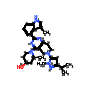 Cc1c[nH]c2cccc(-c3nc4c(c(N5CC[C@H](O)C[C@@H]5C)n3)CN(c3cc(C(C)C)nn3C)CC4)c12